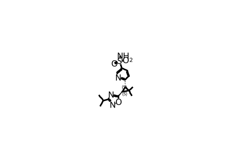 CC(C)c1noc([C@H]2[C@H](c3ccc(S(N)(=O)=O)cn3)C2(C)C)n1